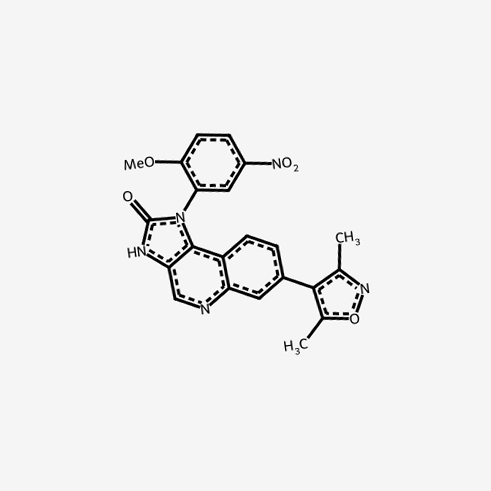 COc1ccc([N+](=O)[O-])cc1-n1c(=O)[nH]c2cnc3cc(-c4c(C)noc4C)ccc3c21